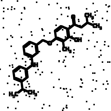 Cc1c(OCc2cccc(Nc3cccc(C(C)C)c3)c2)ccc(C(=O)CC(C)C)c1O